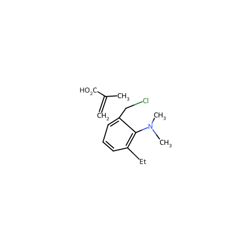 C=C(C)C(=O)O.CCc1cccc(CCl)c1N(C)C